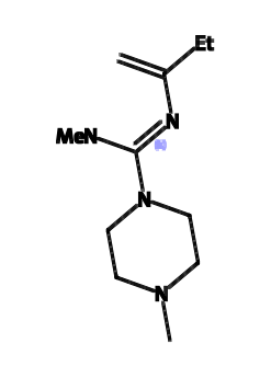 C=C(CC)/N=C(\NC)N1CCN(C)CC1